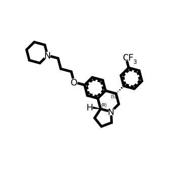 FC(F)(F)c1cccc([C@@H]2CN3CCC[C@@H]3c3cc(OCCCN4CCCCC4)ccc32)c1